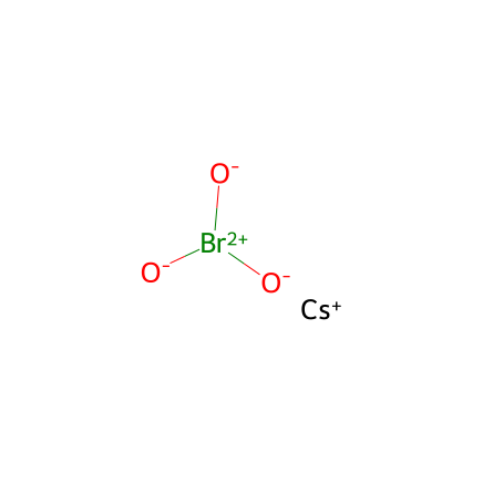 [Cs+].[O-][Br+2]([O-])[O-]